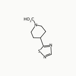 O=C(O)N1CCC(c2ncns2)CC1